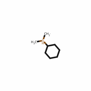 [CH2][SH](C)C1CCCCC1